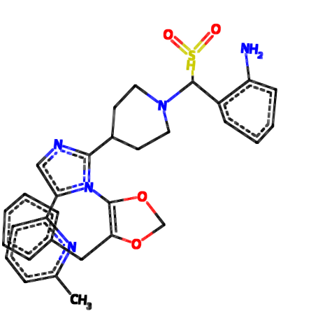 Cc1cccc(-c2cnc(C3CCN(C(c4ccccc4N)[SH](=O)=O)CC3)n2C2=C(Cc3ccccc3)OCO2)n1